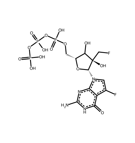 Nc1nc2c(c(F)cn2[C@@H]2O[C@H](COP(=O)(O)OP(=O)(O)OP(=O)(O)O)C(O)[C@]2(O)CF)c(=O)[nH]1